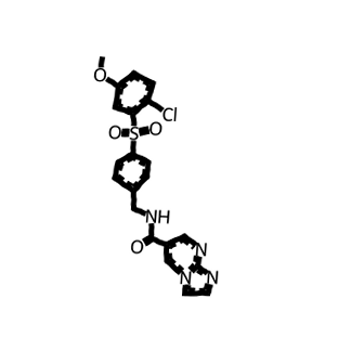 COc1ccc(Cl)c(S(=O)(=O)c2ccc(CNC(=O)c3cnc4nccn4c3)cc2)c1